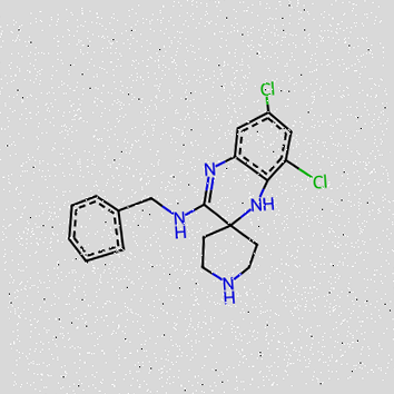 Clc1cc(Cl)c2c(c1)N=C(NCc1ccccc1)C1(CCNCC1)N2